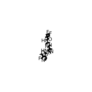 C[C@@H](OC(=O)Nc1c(-c2ncc(NC(=O)C3(C)CC(F)(F)C3)cn2)cnn1C)c1cccnc1F